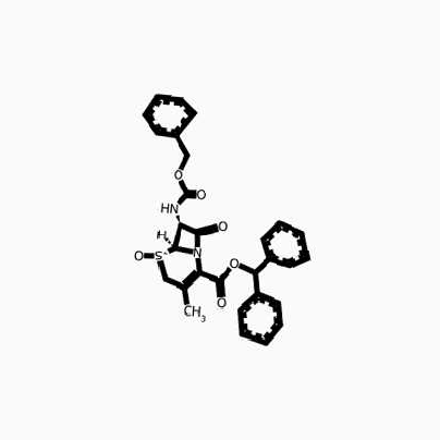 CC1=C(C(=O)OC(c2ccccc2)c2ccccc2)N2C(=O)[C@@H](NC(=O)OCc3ccccc3)[C@@H]2[S+]([O-])C1